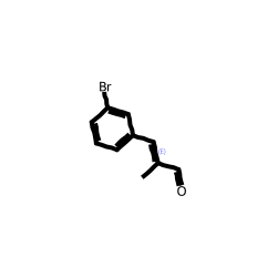 C/C(C=O)=C\c1cccc(Br)c1